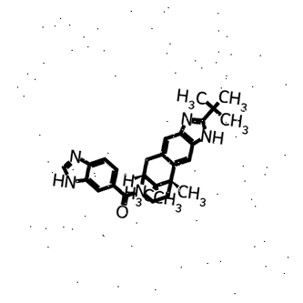 CC(C)(C)c1nc2cc3c(cc2[nH]1)[C@]1(C)CCN(C(=O)c2ccc4nc[nH]c4c2)[C@H](C3)C1(C)C